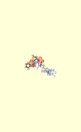 NC(N)NCCC[C@H](N)C(=O)OC(=O)c1ccsc1NS(=O)(=O)c1ccccc1